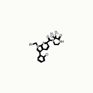 CC(C)Cn1cc(-c2ccccc2Cl)c2ccc(C(=O)N3CCNC(=O)C3(C)C)nc21